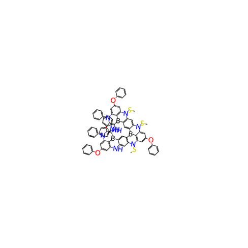 CSN1c2cc3c(cc2B2c4cc5c(cc4N(SC)c4cc(Oc6ccccc6)cc1c42)N(SC)c1cc(Oc2ccccc2)cc2c1B5c1[nH]c4ccccc4c1N2c1ccccc1)B1c2[nH]c4ccccc4c2N(c2ccccc2)c2cc(Oc4ccccc4)cc(c21)N3